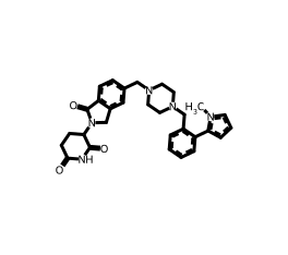 Cn1cccc1-c1ccccc1CN1CCN(Cc2ccc3c(c2)CN(C2CCC(=O)NC2=O)C3=O)CC1